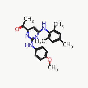 COc1ccc(Nc2nc(Nc3c(C)cc(C)cc3C)cc(C(C)=O)n2)cc1